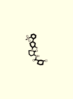 CS(=O)(=O)c1ccccc1-c1ccc(N2CCCC(NC(=O)c3cccc(Cl)c3)C2=O)c(F)c1